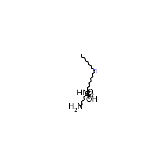 CCCCCCCC/C=C\CCCCCCCC(=O)NC(CCCCN)C(=O)O